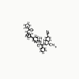 CC(CN[C@H](C(=O)Nc1ccc(-c2cnn(CC(=O)N3CCCC3)c2)cn1)c1ccccc1)c1ccc(C#N)cc1